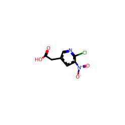 O=C(O)Cc1cnc(Cl)c([N+](=O)[O-])c1